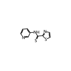 S=C(Nc1cccnc1)c1nccs1